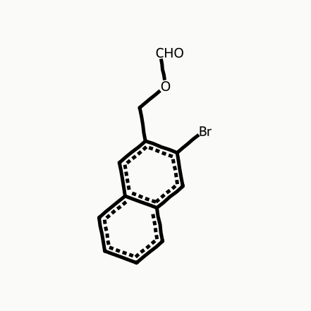 O=COCc1cc2ccccc2cc1Br